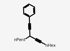 CCCCCCC#CC(C#Cc1ccccc1)CCCCC